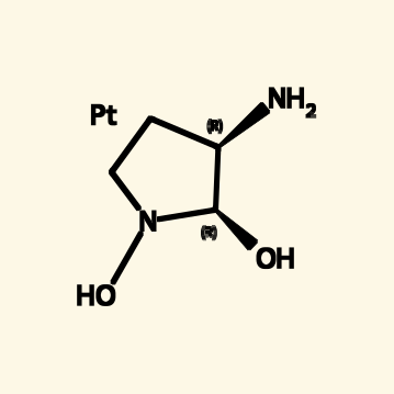 N[C@@H]1CCN(O)[C@@H]1O.[Pt]